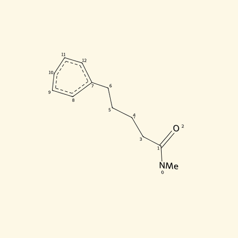 CNC(=O)C[CH]CCc1ccccc1